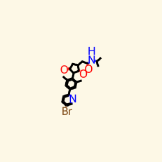 Cc1cc(-c2ccc(Br)cn2)cc(C)c1C1C(=O)CC(CC(=O)NC(C)C)C1=O